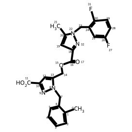 Cc1ccccc1Cn1nc(C(=O)O)cc1COC(=O)c1cc(C)n(Cc2cc(F)ccc2F)n1